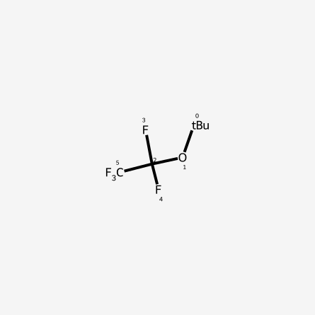 CC(C)(C)OC(F)(F)C(F)(F)F